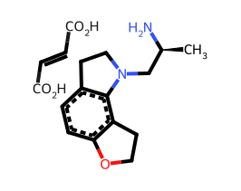 C[C@H](N)CN1CCc2ccc3c(c21)CCO3.O=C(O)/C=C/C(=O)O